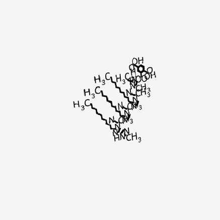 CCCCCCCCCCCc1nccn1C(C)C#N.CCCCCCCCCCCc1nccn1C(C)C#N.CCCCCCCCCCCc1nccn1C(C)C#N.CCc1nc(C)c[nH]1.Cc1ncc[nH]1.O=C(O)c1ccc(C(=O)O)c(C(=O)O)c1